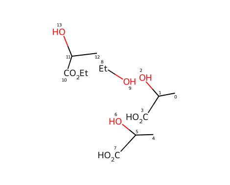 CC(O)C(=O)O.CC(O)C(=O)O.CCO.CCOC(=O)C(C)O